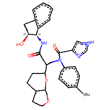 CC(C)(C)c1ccc(N(C(=O)c2c[nH]cn2)C(C(=O)N[C@@H]2c3ccccc3C[C@@H]2O)C2CCC3CCOC3O2)cc1